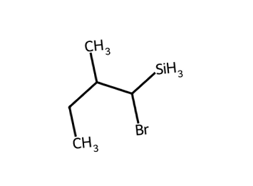 CCC(C)C([SiH3])Br